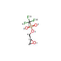 O=S(=O)(OC[C@@H]1CO1)C(F)(F)F